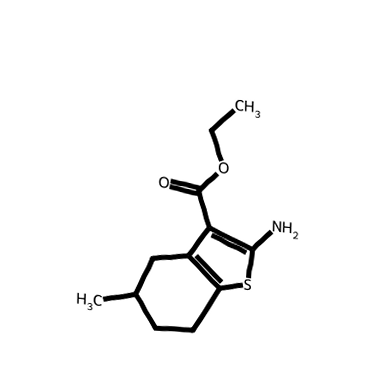 CCOC(=O)c1c(N)sc2c1CC(C)CC2